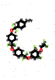 CCCc1ccc(C(F)(F)OC2CCC(C(F)(F)OC3CCC(C(F)(F)Oc4cc(F)c(OC=C(F)F)c(F)c4)CC3)CC2)cc1